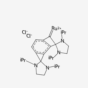 CC(C)N1CCN(C(C)C)C12[C](=[Ru+2])c1ccc3c(c12)C31N(C(C)C)CCN1C(C)C.[Cl-].[Cl-]